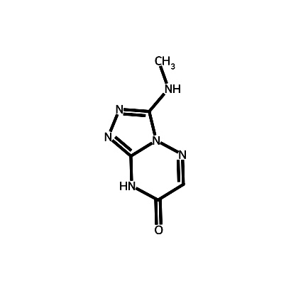 CNc1nnc2[nH]c(=O)cnn12